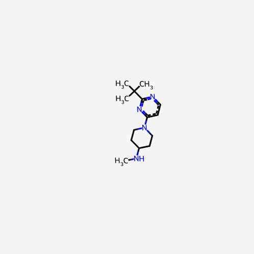 CNC1CCN(c2ccnc(C(C)(C)C)n2)CC1